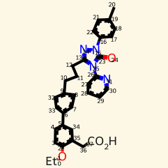 CCOc1ccc(-c2ccc(CCCc3nn(-c4ccc(C)cc4)c(=O)n3-c3ccccn3)cc2)cc1CC(=O)O